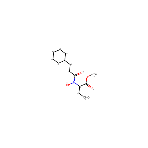 CC(C)(C)OC(=O)C(CC=O)N(O)C(=O)CCC1CCCCC1